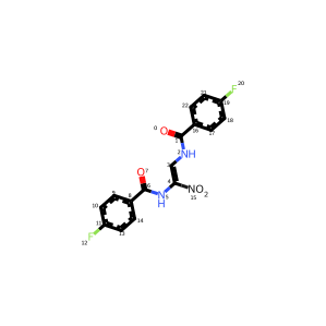 O=C(NC=C(NC(=O)c1ccc(F)cc1)[N+](=O)[O-])c1ccc(F)cc1